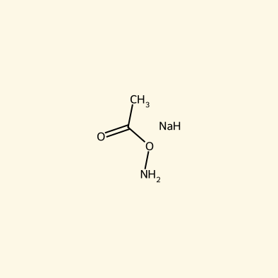 CC(=O)ON.[NaH]